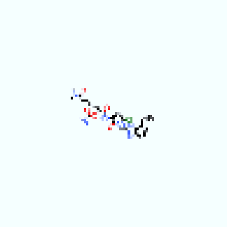 CC(C)Cc1cccc2nc(Cn3c(Cl)ccc(NC(=O)C(CCC=CC(=O)N(C)C)OC(=O)N(C)C)c3=O)[nH]c12